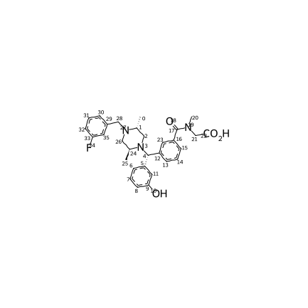 C[C@@H]1CN([C@@H](c2cccc(O)c2)c2cccc(C(=O)N(C)CC(=O)O)c2)[C@@H](C)CN1Cc1cccc(F)c1